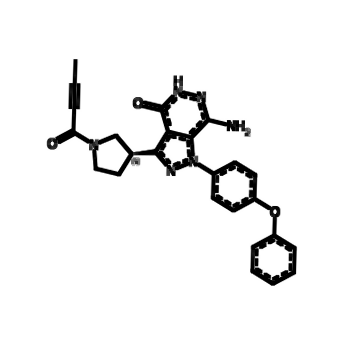 CC#CC(=O)N1CC[C@H](c2nn(-c3ccc(Oc4ccccc4)cc3)c3c(N)n[nH]c(=O)c23)C1